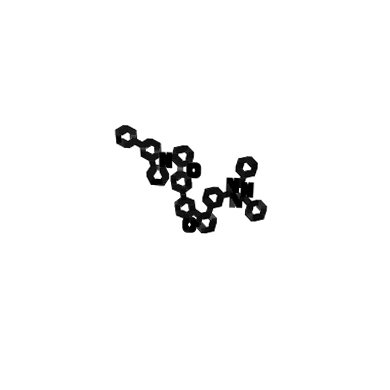 c1ccc(-c2ccc3c(c2)c2ccccc2n3-c2cccc3oc4cc(-c5ccc6oc7cccc(-c8cccc(-c9nc(-c%10ccccc%10)nc(-c%10ccccc%10)n9)c8)c7c6c5)ccc4c23)cc1